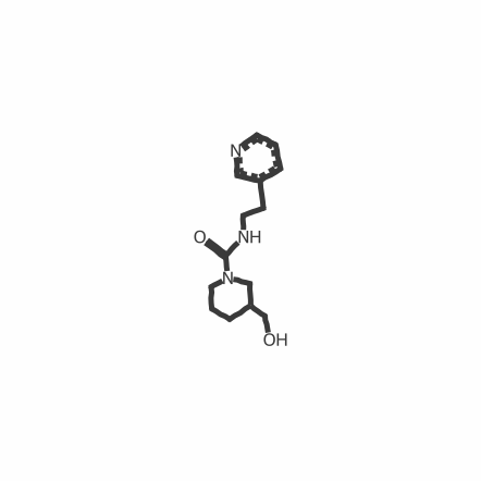 O=C(NCCc1cccnc1)N1CCCC(CO)C1